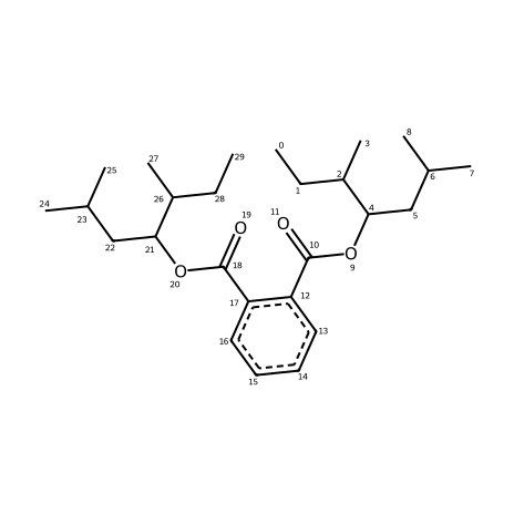 CCC(C)C(CC(C)C)OC(=O)c1ccccc1C(=O)OC(CC(C)C)C(C)CC